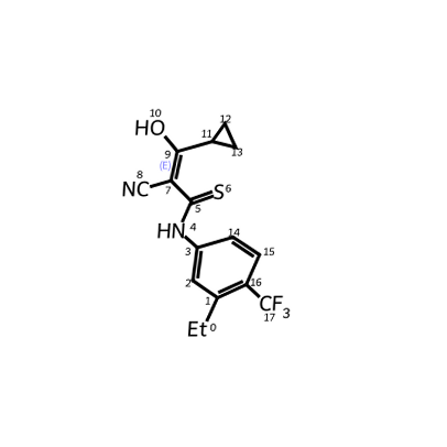 CCc1cc(NC(=S)/C(C#N)=C(/O)C2CC2)ccc1C(F)(F)F